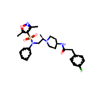 Cc1noc(C)c1S(=O)(=O)N(C[C@@H](C)N1CCC(NC(=O)Cc2ccc(F)cc2)CC1)c1ccccc1